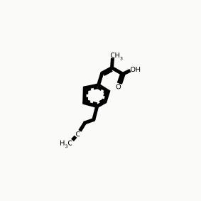 CCCCc1ccc(C=C(C)C(=O)O)cc1